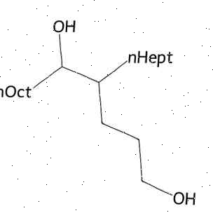 CCCCCCCCC(O)C(CCCO)CCCCCCC